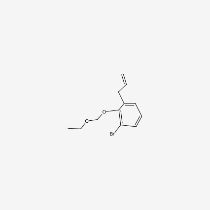 C=CCc1cccc(Br)c1OCOCC